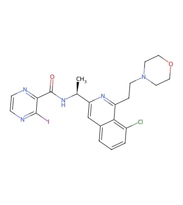 C[C@H](NC(=O)c1nccnc1I)c1cc2cccc(Cl)c2c(CCN2CCOCC2)n1